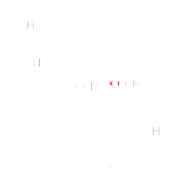 CC(=O)C(=O)O.CC(=O)O.O=C(O)CCC(=O)O